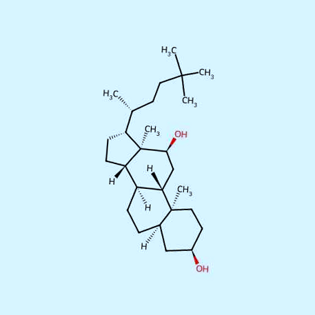 C[C@H](CCC(C)(C)C)[C@H]1CC[C@H]2[C@@H]3CC[C@@H]4C[C@H](O)CC[C@]4(C)[C@H]3C[C@H](O)[C@]12C